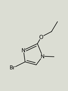 CCOc1nc(Br)cn1C